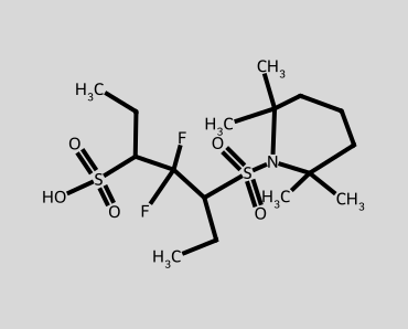 CCC(C(F)(F)C(CC)S(=O)(=O)N1C(C)(C)CCCC1(C)C)S(=O)(=O)O